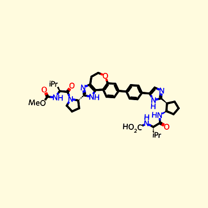 COC(=O)N[C@H](C(=O)N1CCC[C@H]1c1nc2c([nH]1)-c1ccc(-c3ccc(-c4cnc([C@H]5CCC[C@H]5NC(=O)[C@@H](NC(=O)O)C(C)C)[nH]4)cc3)cc1OCC2)C(C)C